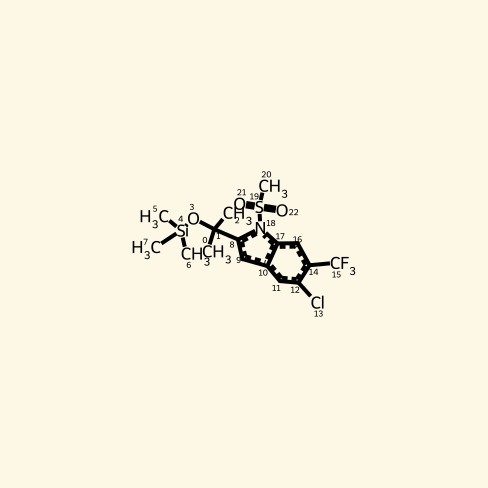 CC(C)(O[Si](C)(C)C)c1cc2cc(Cl)c(C(F)(F)F)cc2n1S(C)(=O)=O